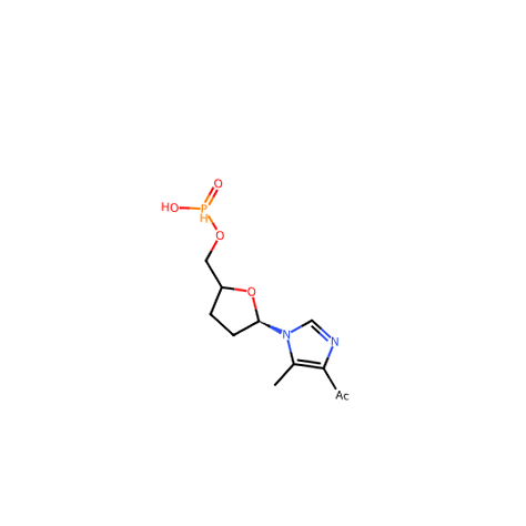 CC(=O)c1ncn([C@H]2CCC(CO[PH](=O)O)O2)c1C